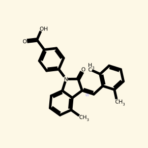 Cc1cccc(C)c1/C=C1\C(=O)N(c2ccc(C(=O)O)cc2)c2cccc(C)c21